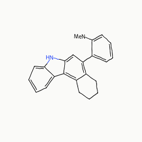 CNc1ccccc1-c1cc2[nH]c3ccccc3c2c2c1CCCC2